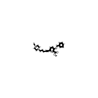 COC(=O)c1nc(C#CCCCN2CCN(C)CC2)ccc1OCc1ccccc1